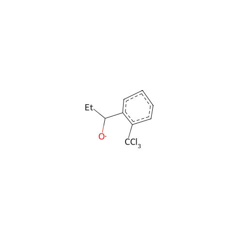 CCC([O])c1ccccc1C(Cl)(Cl)Cl